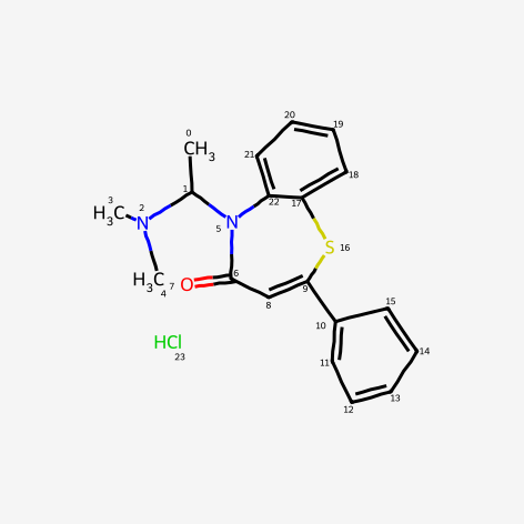 CC(N(C)C)N1C(=O)C=C(c2ccccc2)Sc2ccccc21.Cl